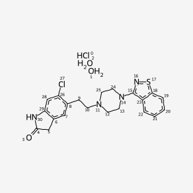 Cl.O.O.O=C1Cc2cc(CCN3CCN(c4nsc5ccccc45)CC3)c(Cl)cc2N1